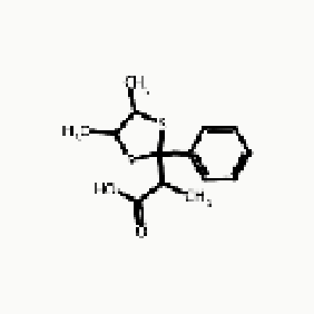 CC1SC(c2ccccc2)(C(C)C(=O)O)SC1C